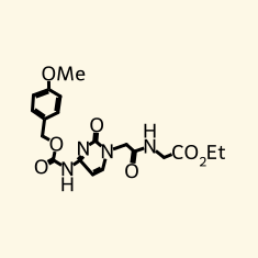 CCOC(=O)CNC(=O)Cn1ccc(NC(=O)OCc2ccc(OC)cc2)nc1=O